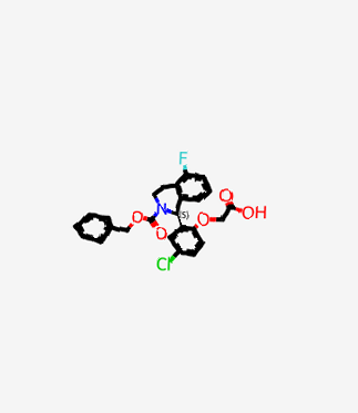 O=C(O)COc1ccc(Cl)cc1[C@@H]1c2cccc(F)c2CCN1C(=O)OCc1ccccc1